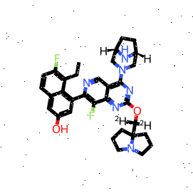 [2H]C([2H])(Oc1nc(N2C[C@H]3CC[C@@H](C2)N3)c2cnc(-c3cc(O)cc4ccc(F)c(CC)c34)c(F)c2n1)C12CCCN1CCC2